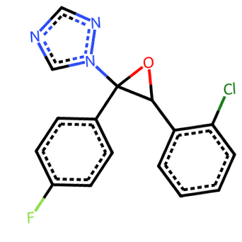 Fc1ccc(C2(n3cncn3)OC2c2ccccc2Cl)cc1